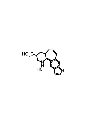 Cl.O=C(O)C1CNC2=c3cc4c(cc3C=CCC2C1)=NC=C4